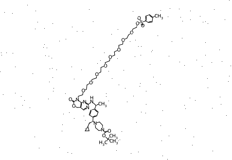 Cc1ccc(S(=O)(=O)OCCOCCOCCOCCOCCOCCOCCOCCOCCN2C(=O)OCc3cnc(N[C@@H](C)c4ccc([C@H](CC5CC5)N5CCN(C(=O)OC(C)(C)C)CC5)cc4)nc32)cc1